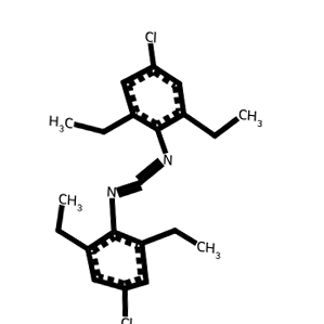 CCc1cc(Cl)cc(CC)c1N=C=Nc1c(CC)cc(Cl)cc1CC